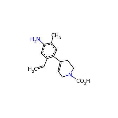 C=Cc1cc(N)c(C)cc1C1=CCN(C(=O)O)CC1